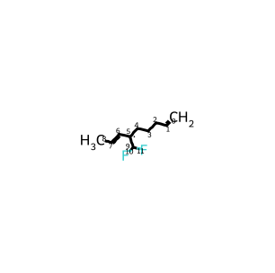 C=CCCC[C](C=CC)C(F)F